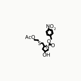 CC(=O)OCCSCC1CC(O)CN1C(=O)OCc1ccc([N+](=O)[O-])cc1